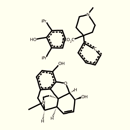 CC(C)c1cccc(C(C)C)c1O.CCOC(=O)C1(c2ccccc2)CCN(C)CC1.CN1CC[C@]23c4c5ccc(O)c4O[C@H]2[C@@H](O)C=C[C@H]3[C@H]1C5